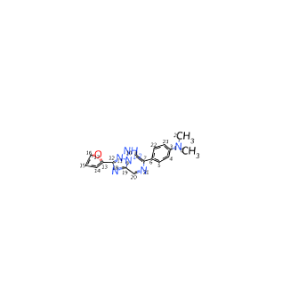 CN(C)c1ccc(C2=C[N+]3(N)N=C(c4ccco4)N=C3C=N2)cc1